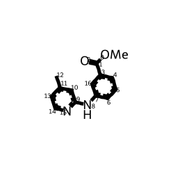 COC(=O)c1cccc(Nc2cc(C)ccn2)c1